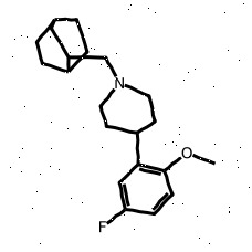 COc1ccc(F)cc1C1CCN(CC2CC3CCC2CC3)CC1